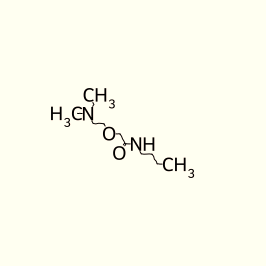 CCCCNC(=O)COCCN(C)CC